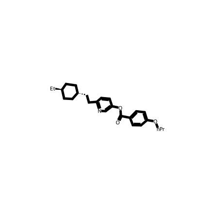 CCCOc1ccc(C(=O)Oc2ccc(CC[C@H]3CC[C@H](CC)CC3)nc2)cc1